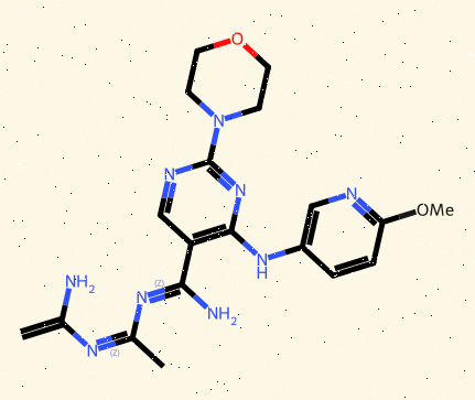 C=C(N)/N=C(C)\N=C(/N)c1cnc(N2CCOCC2)nc1Nc1ccc(OC)nc1